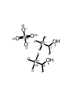 CC(O)[P+](C)(C)C.CC(O)[P+](C)(C)C.O=S(=O)([O-])[O-]